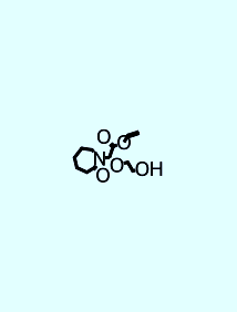 C=COC(=O)C(OCCO)N1CCCCCC1=O